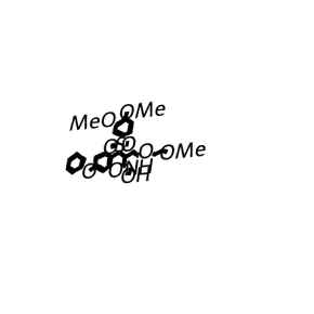 COCCOCCC(C(=O)NO)C(c1ccc(Oc2ccccc2)cc1)S(=O)(=O)c1ccc(OC)c(OC)c1